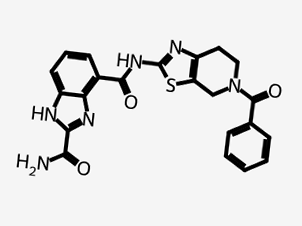 NC(=O)c1nc2c(C(=O)Nc3nc4c(s3)CN(C(=O)c3ccccc3)CC4)cccc2[nH]1